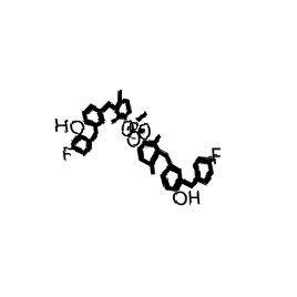 CCP(=O)(Oc1ccc(C)c(Cc2ccc(O)c(Cc3ccc(F)cc3)c2)c1C)Oc1ccc(C)c(Cc2ccc(O)c(Cc3ccc(F)cc3)c2)c1C